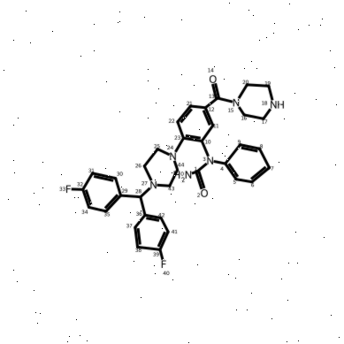 NC(=O)N(c1ccccc1)c1cc(C(=O)N2CCNCC2)ccc1N1CCN(C(c2ccc(F)cc2)c2ccc(F)cc2)CC1